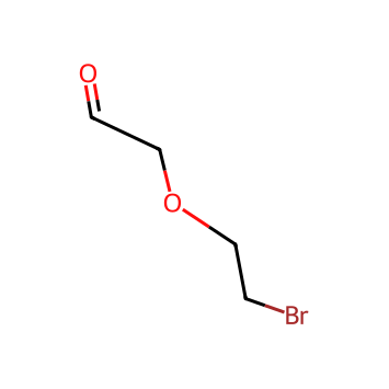 O=CCOCCBr